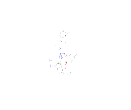 COc1ccc2[nH]c(C)c(C(C(=O)c3ccc(Cl)cc3)c3nc(CN4CCN(c5ccccc5)CC4)no3)c2c1